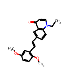 CCn1ccc(=O)c2cc(/C=C/c3cc(OC)ccc3OC)ccc21